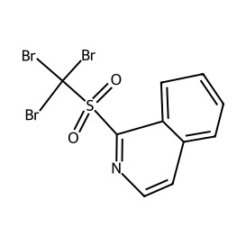 O=S(=O)(c1nccc2ccccc12)C(Br)(Br)Br